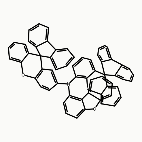 c1ccc2c(c1)Oc1ccc(N(c3cccc4c3Sc3ccccc3C43c4ccccc4-c4ccccc43)c3cccc4oc5ccccc5c34)cc1C21c2ccccc2-c2ccccc21